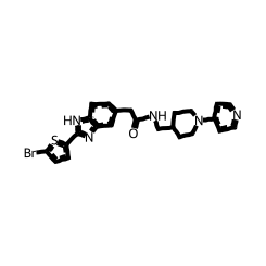 O=C(Cc1ccc2[nH]c(-c3ccc(Br)s3)nc2c1)NCC1CCN(c2ccncc2)CC1